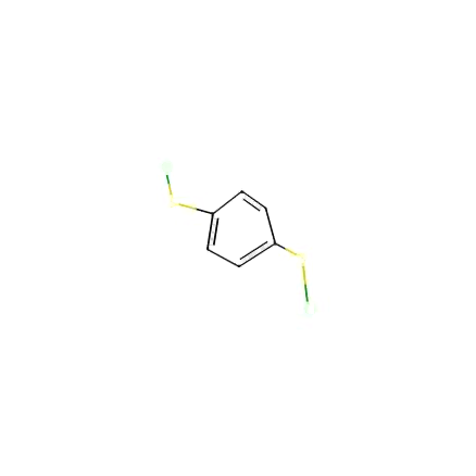 ClSc1[c]cc(SCl)cc1